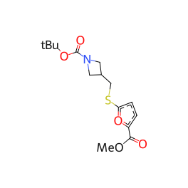 COC(=O)c1ccc(SCC2CN(C(=O)OC(C)(C)C)C2)o1